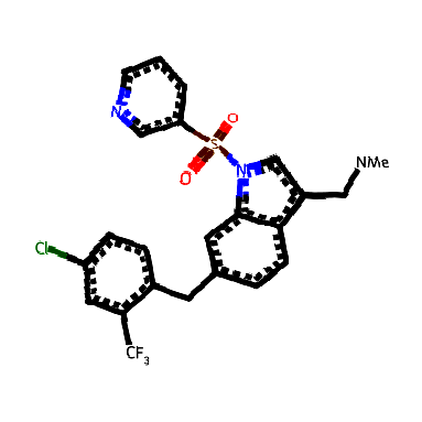 CNCc1cn(S(=O)(=O)c2cccnc2)c2cc(Cc3ccc(Cl)cc3C(F)(F)F)ccc12